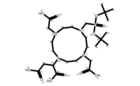 CC(C)(C)OP(=O)(CN1CCN(CC(=O)O)CCN(C(CC(=O)O)C(=O)O)CCN(CC(=O)O)CC1)OC(C)(C)C